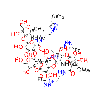 CCc1cn(CCCNC(=O)C2O[C@@H](O[C@@H]3C(NC(C)=O)[C@H](O[C@@H]4C(C(=O)NCCCn5cc(CC)nn5)O[C@@H](O[C@@H]5C(NC(C)=O)[C@H](O[C@@H]6C(C(=O)NCCCn7cc([CH2][GaH2])nn7)O[C@@H](O[C@@H]7C(NC(C)=O)[C@H](C)OC(CO)[C@H]7O)C(O)[C@H]6O)OC(CO)[C@H]5O)C(O)[C@H]4O)OC(CO)[C@H]3O)C(O)[C@@H](O)[C@@H]2OC)nn1